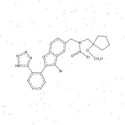 CCC(=O)N(Cc1ccc2oc(-c3ccccc3-c3nnn[nH]3)c(Br)c2c1)CC1(OC(=O)O)CCCC1